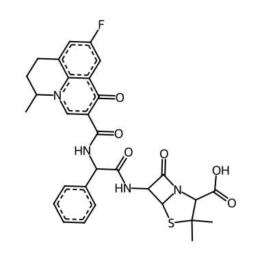 CC1CCc2cc(F)cc3c(=O)c(C(=O)NC(C(=O)NC4C(=O)N5C4SC(C)(C)C5C(=O)O)c4ccccc4)cn1c23